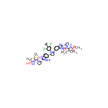 COC(=O)N[C@H](C(=O)N1CCC[C@H]1c1nc2ccc([C@H]3CC[C@H](c4ccc5nc([C@@H]6CCCN6C(=O)[C@@H](NC(=O)O)C(C)C)[nH]c5c4)N3c3cc(F)c(C4CC4)c(F)c3)cc2[nH]1)C(C)C